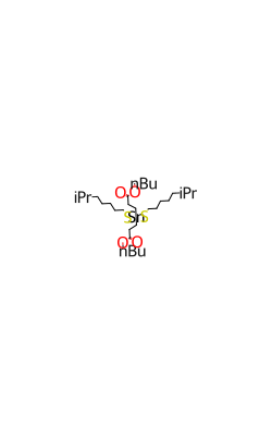 CCCCOC(=O)C[CH2][Sn]([CH2]CC(=O)OCCCC)([S]CCCCCC(C)C)[S]CCCCCC(C)C